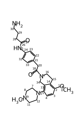 COc1ccc(N2CCN(C)CC2)c2c1CCN(C(=O)Cc1ccc(NC(=O)CCCN)cc1)C2